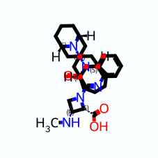 CN[C@@H]1CN(c2nc3ccccc3n([C@@H]3C[C@H]4CCC[C@@H](C3)N4[C@@H]3C[C@@H]4CCCC[C@@H](C4)C3)c2=O)[C@@H]1C(=O)O